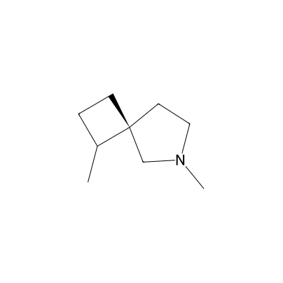 CC1CC[C@]12CCN(C)C2